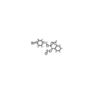 COc1ccccc1C(O[C]=O)C(=O)OCc1ccc(Br)cc1